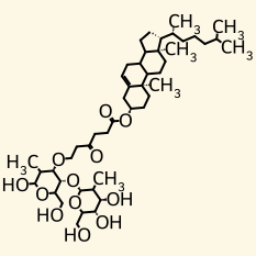 CC(C)CCC[C@@H](C)[C@H]1CCC2C3CC=C4C[C@H](OC(=O)CCC(=O)CCO[C@@H]5C(C)C(O)OC(CO)[C@H]5O[C@@H]5OC(CO)[C@@H](O)[C@H](O)C5C)CC[C@]4(C)C3CC[C@@]21C